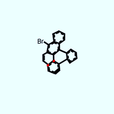 Brc1c2c(c(-c3ccccc3-c3c#cccc3)c3ccccc13)CCC=C2